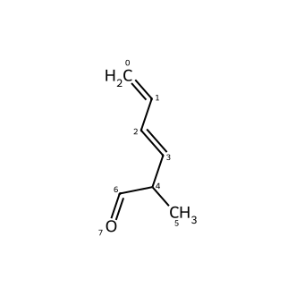 C=CC=CC(C)C=O